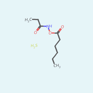 CCCCCC(=O)ONC(=O)CC.S